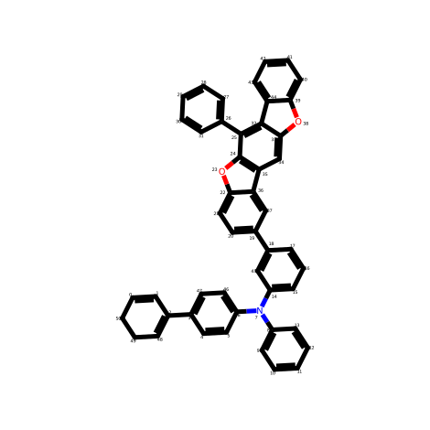 C1=CC(c2ccc(N(c3ccccc3)c3cccc(-c4ccc5oc6c(-c7ccccc7)c7c(cc6c5c4)oc4ccccc47)c3)cc2)=CCC1